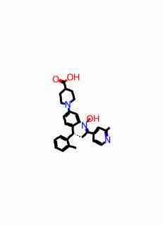 Cc1cc(C(C[C@@H](c2ccc(N3CCC(C(=O)O)CC3)cc2)c2ccccc2C)=NO)ccn1